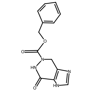 O=C1NN(C(=O)OCc2ccccc2)Cc2nc[nH]c21